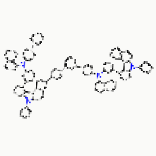 c1ccc(-c2ccc(N(c3cccc(-c4cccc5c4c4c6ccc(-c7ccc(-c8cccc(-c9ccc(N(c%10cccc(-c%11cccc%12c%11c%11c%13ccccc%13ccc%11n%12-c%11ccccc%11)c%10)c%10cccc%11ccccc%10%11)cc9)c8)cc7)cc6ccc4n5-c4ccccc4)c3)c3cccc4ccccc34)cc2)cc1